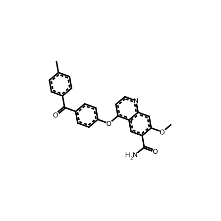 COc1cc2nccc(Oc3ccc(C(=O)c4ccc(C)cc4)cc3)c2cc1C(N)=O